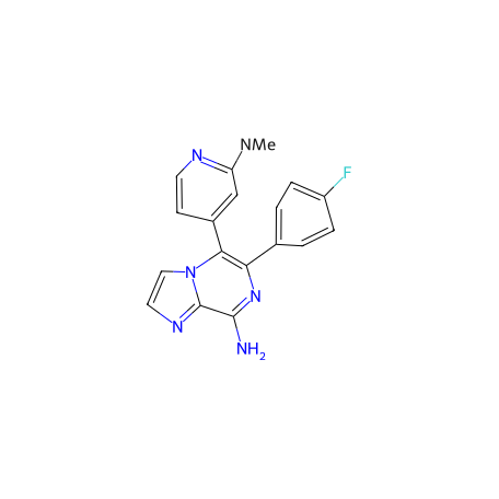 CNc1cc(-c2c(-c3ccc(F)cc3)nc(N)c3nccn23)ccn1